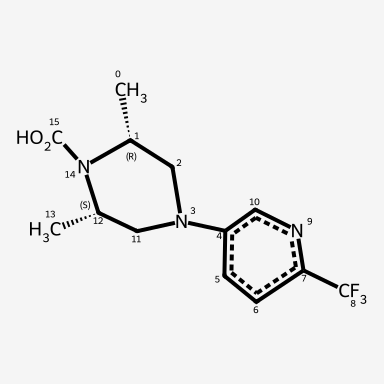 C[C@@H]1CN(c2ccc(C(F)(F)F)nc2)C[C@H](C)N1C(=O)O